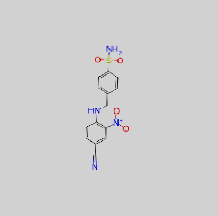 N#Cc1ccc(NCc2ccc(S(N)(=O)=O)cc2)c([N+](=O)[O-])c1